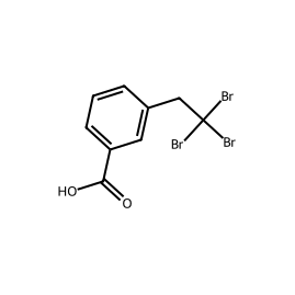 O=C(O)c1cccc(CC(Br)(Br)Br)c1